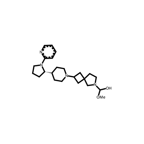 COC(O)N1CCC2(CC(N3CCC([C@@H]4CCCN4c4ccccn4)CC3)C2)C1